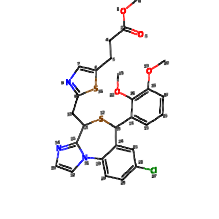 COC(=O)CCc1cnc(CC2SC(c3cccc(OC)c3OC)c3cc(Cl)ccc3-n3ccnc32)s1